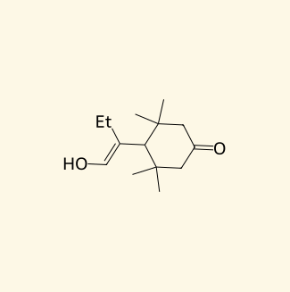 CCC(=CO)C1C(C)(C)CC(=O)CC1(C)C